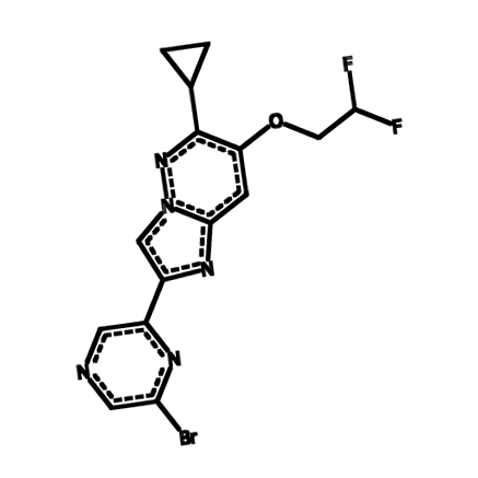 FC(F)COc1cc2nc(-c3cncc(Br)n3)cn2nc1C1CC1